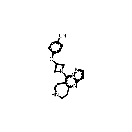 N#Cc1ccc(OC2CN(c3c4c(nc5ccnn35)CCNCC4)C2)cc1